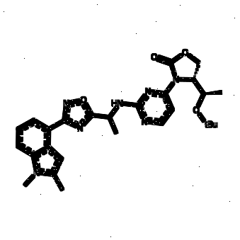 Cc1cc2c(-c3noc(C(C)Nc4nccc(N5C(=O)OC[C@@H]5[C@@H](C)OC(C)(C)C)n4)n3)cccc2n1C